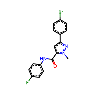 Cn1nc(-c2ccc(Br)cc2)cc1C(=O)Nc1ccc(F)cc1